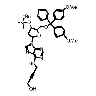 COc1ccc(C(OC[C@H]2O[C@@H](n3cnc4c(NCC#CCO)ncnc43)C[C@@H]2O[Si](C)(C)C(C)(C)C)(c2ccccc2)c2ccc(OC)cc2)cc1